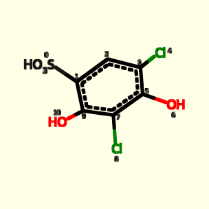 O=S(=O)(O)c1cc(Cl)c(O)c(Cl)c1O